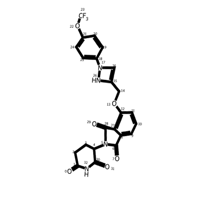 O=C1CCC(N2C(=O)c3cccc(OCc4cn(-c5ccc(OC(F)(F)F)cc5)[nH]4)c3C2=O)C(=O)N1